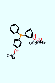 O=[C-]O.O=[C-]O.O=[C-]O.[Na+].[Na+].[Na+].c1ccc(P(c2ccccc2)c2ccccc2)cc1